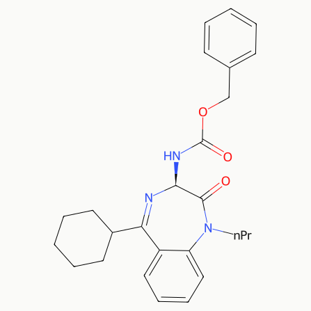 CCCN1C(=O)[C@H](NC(=O)OCc2ccccc2)N=C(C2CCCCC2)c2ccccc21